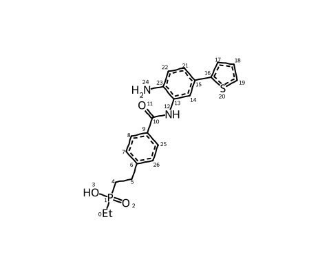 CCP(=O)(O)CCc1ccc(C(=O)Nc2cc(-c3cccs3)ccc2N)cc1